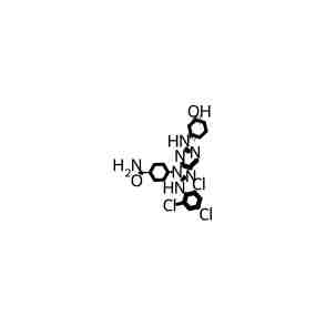 NC(=O)[C@H]1CC[C@@H](n2c(Nc3c(Cl)cc(Cl)cc3Cl)nc3cnc(N[C@@H]4CCC[C@H](O)C4)nc32)CC1